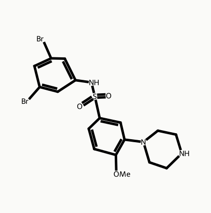 COc1ccc(S(=O)(=O)Nc2cc(Br)cc(Br)c2)cc1N1CCNCC1